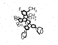 CCc1cc(F)cc2c1C(C)(C)c1c3c(c4cc(OC)c(OC)cc4c1-2)OC(c1ccc(N2CCOCC2)cc1)(c1ccc(N2CCOCC2)cc1)C=C3